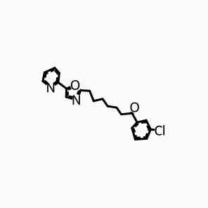 O=C(CCCCCCc1ncc(-c2ccccn2)o1)c1cccc(Cl)c1